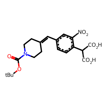 CC(C)(C)OC(=O)N1CCC(=Cc2ccc(C(C(=O)O)C(=O)O)c([N+](=O)[O-])c2)CC1